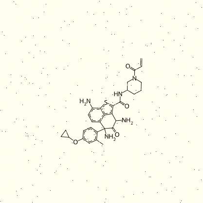 C=CC(=O)N1CCCC(NC(=O)c2sc3c(N)ccc4c3c2C(N)C(=O)C4(N)c2ccc(OC3CC3)cc2C)C1